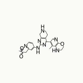 Cc1c(-c2nc(Nc3ccnc(CS(C)(=O)=O)c3)nc3c2CCNC3)cnc2c1NCCO2